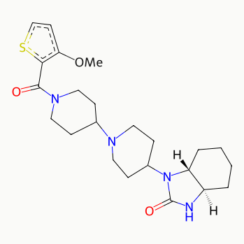 COc1ccsc1C(=O)N1CCC(N2CCC(N3C(=O)N[C@@H]4CCCC[C@H]43)CC2)CC1